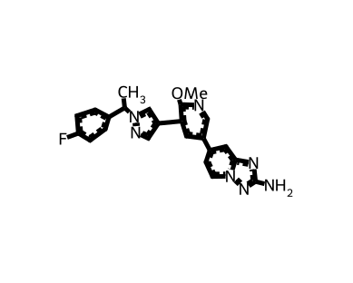 COc1ncc(-c2ccn3nc(N)nc3c2)cc1-c1cnn(C(C)c2ccc(F)cc2)c1